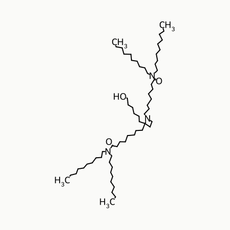 CCCCCCCCCCN(CCCCCCCCCC)C(=O)CCCCCCCN1CCC1(CCCCCCO)CCCCCCCC(=O)N(CCCCCCCCCC)CCCCCCCCCC